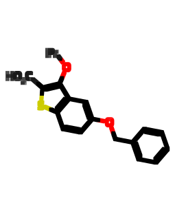 CC(C)Oc1c(C(=O)O)sc2ccc(OCc3ccccc3)cc12